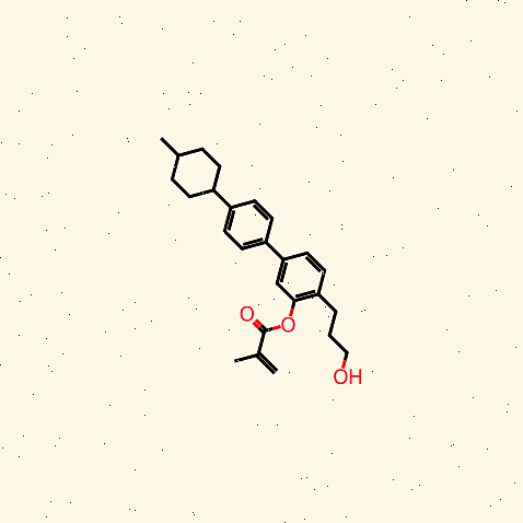 C=C(C)C(=O)Oc1cc(-c2ccc(C3CCC(C)CC3)cc2)ccc1CCCO